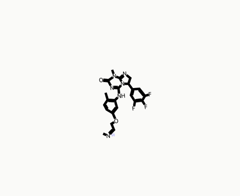 C/N=C\COc1ccc(C)c(NC2=NC(=O)N(C)C3=NCC(c4cc(F)c(F)c(F)c4)N23)c1